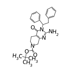 CC(C)(C)OC(=O)N1CCc2c(nc(N)n(C(Cc3ccccc3)c3ccccc3)c2=O)C1